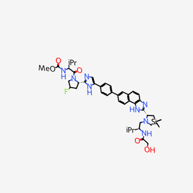 COC(=O)N[C@H](C(=O)N1CC(F)C[C@H]1c1ncc(-c2ccc(-c3ccc4c(ccc5nc([C@@H]6C[Si](C)(C)CN6C[C@@H](NC(=O)CO)C(C)C)[nH]c54)c3)cc2)[nH]1)C(C)C